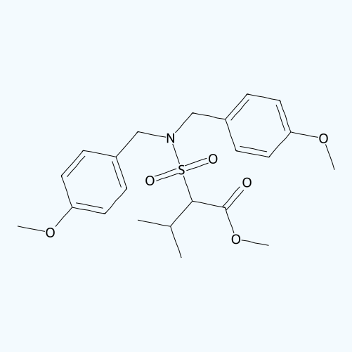 COC(=O)C(C(C)C)S(=O)(=O)N(Cc1ccc(OC)cc1)Cc1ccc(OC)cc1